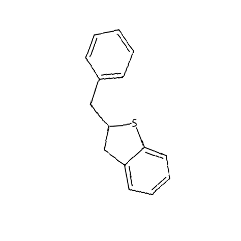 c1ccc(CC2Cc3ccccc3S2)cc1